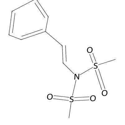 CS(=O)(=O)N(C=Cc1ccccc1)S(C)(=O)=O